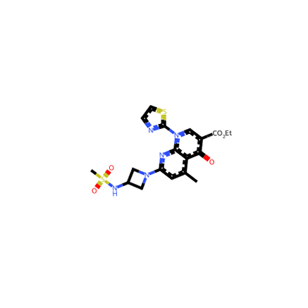 CCOC(=O)c1cn(-c2nccs2)c2nc(N3CC(NS(C)(=O)=O)C3)cc(C)c2c1=O